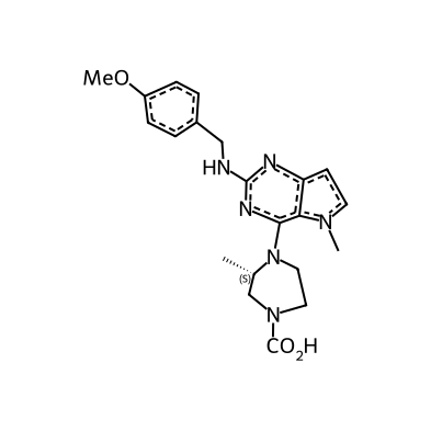 COc1ccc(CNc2nc(N3CCN(C(=O)O)C[C@@H]3C)c3c(ccn3C)n2)cc1